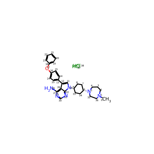 CN1CCCN([C@H]2CC[C@@H](n3cc(-c4ccc(Oc5ccccc5)cc4)c4c(N)ncnc43)CC2)CC1.Cl.Cl